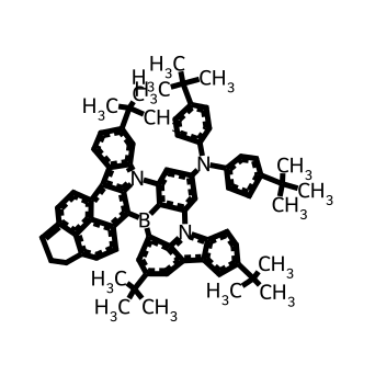 CC(C)(C)c1ccc(N(c2ccc(C(C)(C)C)cc2)c2cc3c4c(c2)-n2c5cc(C(C)(C)C)ccc5c5c6ccc7c8c(ccc(c(c52)B4c2cc(C(C)(C)C)cc4c5cc(C(C)(C)C)ccc5n-3c24)c86)CCC=7)cc1